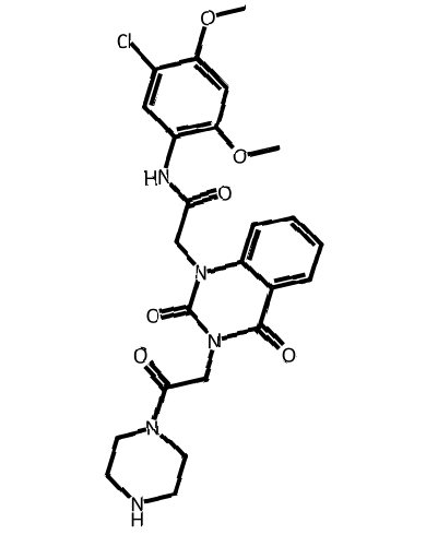 COc1cc(OC)c(NC(=O)Cn2c(=O)n(CC(=O)N3CCNCC3)c(=O)c3ccccc32)cc1Cl